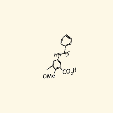 COc1c(C)cc(NC(=S)c2ccccc2)cc1C(=O)O